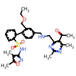 CCOCc1cc(CNCc2nc(C)nc(C)c2C(C)=O)ccc1-c1ccccc1S(=O)(=O)Nc1noc(C)c1C